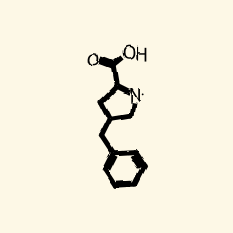 O=C(O)C1CC(Cc2ccccc2)C[N]1